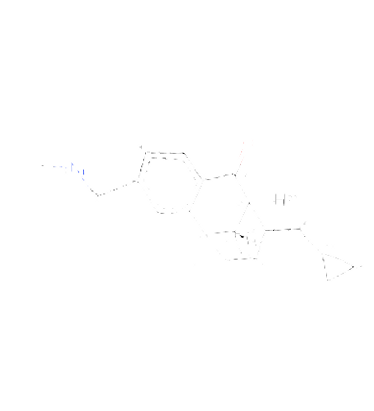 CNCc1ccc2c(c1)[C@]1(C)CCC(CC3CC3)[C@H](C2=O)[C@@H]1C